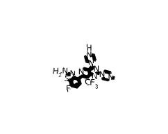 CN1CCN(c2nc(N3CCNCC3)c3cnc(-c4ccc(F)c5sc(N)nc45)c(C(F)(F)F)c3n2)CC1